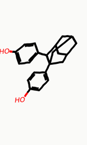 Oc1ccc(C2C3CC4CC(C3)CC2(c2ccc(O)cc2)C4)cc1